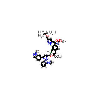 CCn1ncc2ccc(-c3cc(COC(C)(Cc4cccc(Cn5nc(COC(C)(C)C(=O)O)cc5-c5cnc(OC(C)C)o5)c4Cl)C(=O)O)nn3-c3ccccc3N3CCC3)cc21